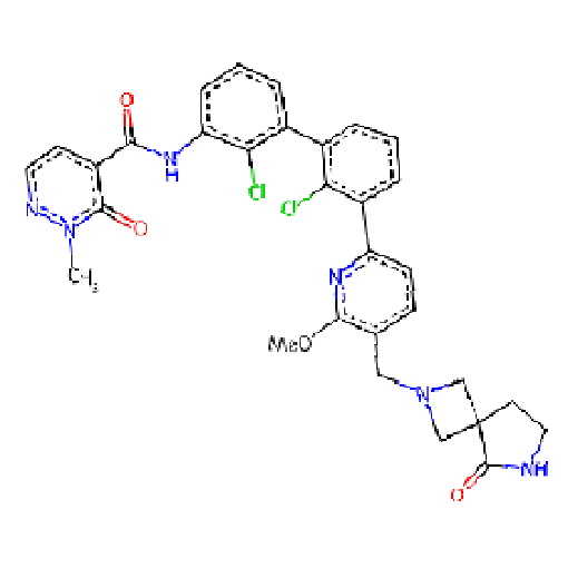 COc1nc(-c2cccc(-c3cccc(NC(=O)c4ccnn(C)c4=O)c3Cl)c2Cl)ccc1CN1CC2(CCNC2=O)C1